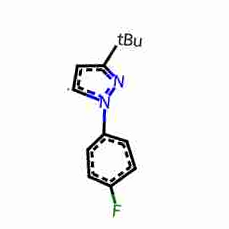 CC(C)(C)c1c[c]n(-c2ccc(F)cc2)n1